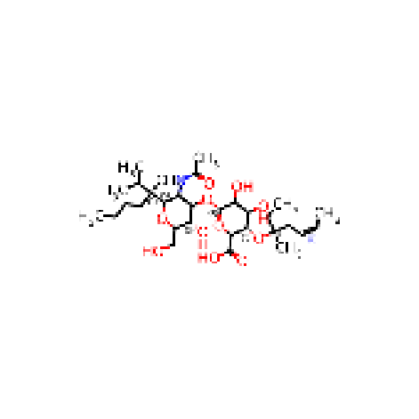 C/C=C\C[C@@](C)(CC)O[C@@H]1C(C(=O)O)O[C@@H](OC2C(NC(C)=O)[C@H]([C@](C)(CCCC)C(C)C)OC(CO)[C@H]2O)C(O)C1O